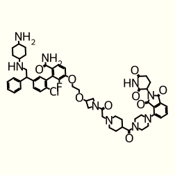 NC(=O)c1ccc(OCCOC2CN(C(=O)CN3CCC(C(=O)N4CCN(c5cccc6c5C(=O)N(C5CCC(=O)NC5=O)C6=O)CC4)CC3)C2)c(F)c1-c1cc(C(CNC2CCC(N)CC2)c2ccccc2)ccc1Cl